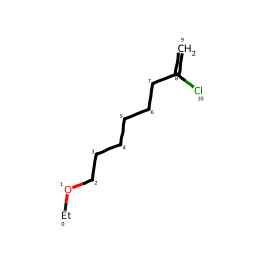 [CH2]COCCCCCCC(=C)Cl